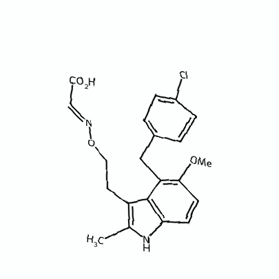 COc1ccc2[nH]c(C)c(CCON=CC(=O)O)c2c1Cc1ccc(Cl)cc1